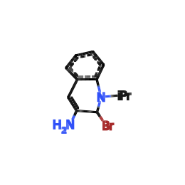 CC(C)N1c2ccccc2C=C(N)C1Br